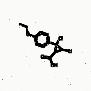 CCOc1ccc(C2(Cl)C(Cl)C2C(=O)O)cc1